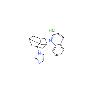 Cl.c1ccc2ncccc2c1.c1cn(C23CC4CC(CC(C4)C2)C3)cn1